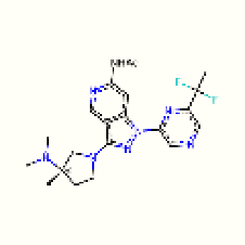 CC(=O)Nc1cc2c(cn1)c(N1CC[C@](C)(N(C)C)C1)nn2-c1cncc(C(C)(F)F)n1